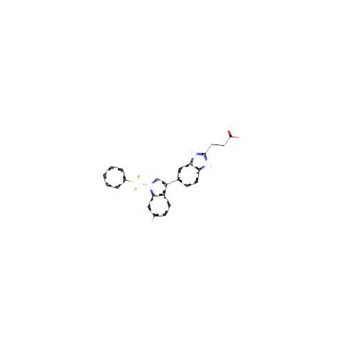 O=C(O)CCc1nc2cc(-c3cn(S(=O)(=O)c4ccccc4)c4cc(F)ccc34)ccc2[nH]1